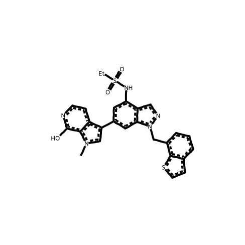 CCS(=O)(=O)Nc1cc(-c2cn(C)c3c(O)nccc23)cc2c1cnn2Cc1cccc2ccsc12